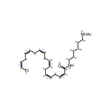 CC/C=C\C/C=C\C/C=C\C/C=C\C/C=C\C/C=C\C(=O)NCCSSCCNC(C)=O